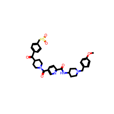 COc1ccc(CN2CCC(NC(=O)c3ccc(C(=O)N4CCC(C(=O)c5ccc(C[SH](=O)=O)cc5)CC4)cn3)CC2)cc1